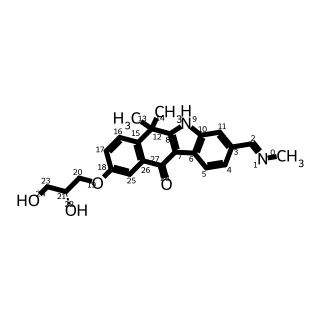 C/N=C/c1ccc2c3c([nH]c2c1)C(C)(C)c1ccc(OC[C@H](O)CO)cc1C3=O